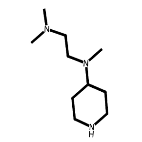 CN(C)CCN(C)C1CCNCC1